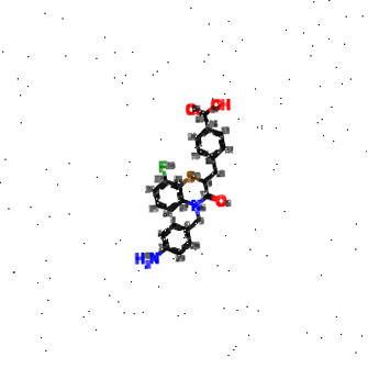 Nc1ccc(CN2C(=O)C(Cc3ccc(C(=O)O)cc3)Sc3c(F)cccc32)cc1